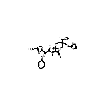 Nc1nc(C(=NOC2C=CCCC2)C(=O)NC2C(=O)N3CC(CSc4nncs4)(C(=O)O)CS[C@H]23)ns1